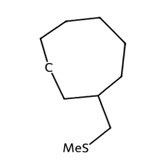 [CH2]SCC1CCCCCCC1